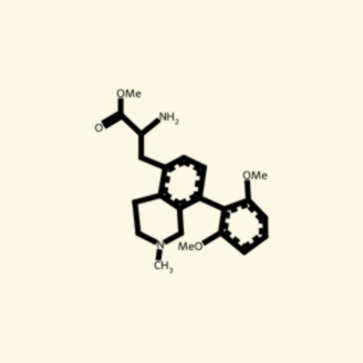 COC(=O)C(N)Cc1ccc(-c2c(OC)cccc2OC)c2c1CCN(C)C2